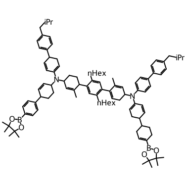 CCCCCCc1cc(C2CCC(N(C3=CCC(c4ccc(CC(C)C)cc4)C=C3)C3C=CC(c4ccc(B5OC(C)(C)C(C)(C)O5)cc4)CC3)C=C2C)c(CCCCCC)cc1C1=CCC(N(C2=CCC(C3CC=C(B4OC(C)(C)C(C)(C)O4)CC3)C=C2)c2ccc(-c3ccc(CC(C)C)cc3)cc2)C=C1C